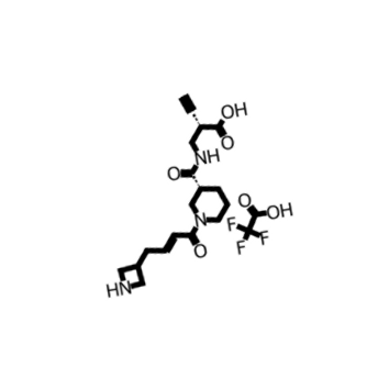 C#C[C@@H](CNC(=O)[C@@H]1CCCN(C(=O)/C=C/CC2CNC2)C1)C(=O)O.O=C(O)C(F)(F)F